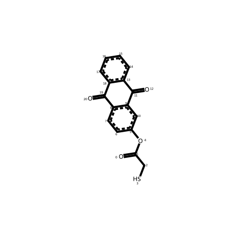 O=C(CS)Oc1ccc2c(c1)C(=O)c1ccccc1C2=O